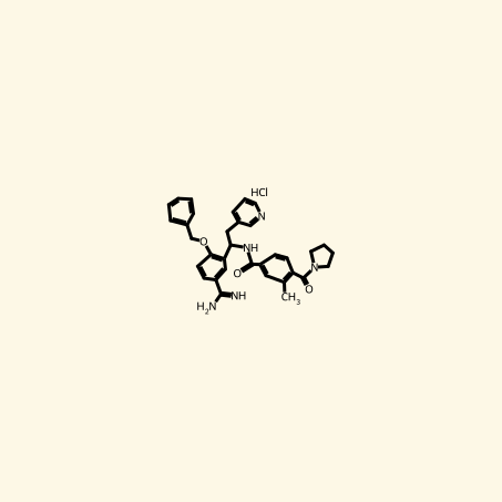 Cc1cc(C(=O)NC(Cc2cccnc2)c2cc(C(=N)N)ccc2OCc2ccccc2)ccc1C(=O)N1CCCC1.Cl